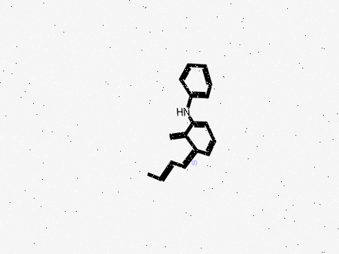 C=c1c(Nc2ccccc2)ccc/c1=C/C=CC